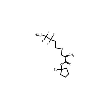 C=C(COCCC(F)(F)C(F)(F)S(=O)(=O)O)C(=O)OC1(CC)CCCC1